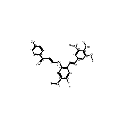 COc1cc(NC=CC(=O)c2ccc(Cl)cc2)c(C=Cc2cc(OC)c(OC)c(OC)c2)cc1F